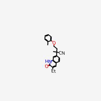 CCc1cc2ccc(C(C)(C#N)CCOc3ccccc3C)cc2[nH]c1=O